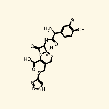 NC(C(=O)NC1C(=O)N2C(C(=O)O)=C(CSc3c[nH]nn3)CS[C@H]12)c1ccc(O)c(Br)c1